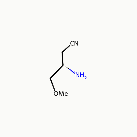 COC[C@@H](N)CC#N